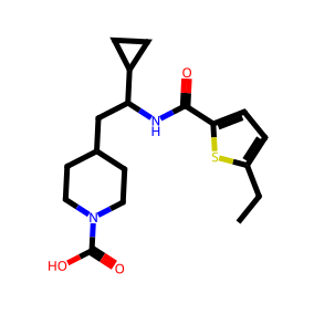 CCc1ccc(C(=O)NC(CC2CCN(C(=O)O)CC2)C2CC2)s1